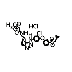 CS(=O)(=O)CC(=O)NCCn1ccc2ncnc(Nc3ccc(Oc4cccc(S(=O)(=O)CC5CC5)c4)c(Cl)c3)c21.Cl